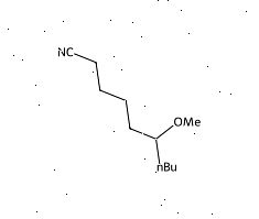 CCCCC(CCCCC#N)OC